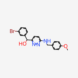 COc1ccc(CNc2ccc(C(O)c3cccc(Br)c3)nn2)cc1